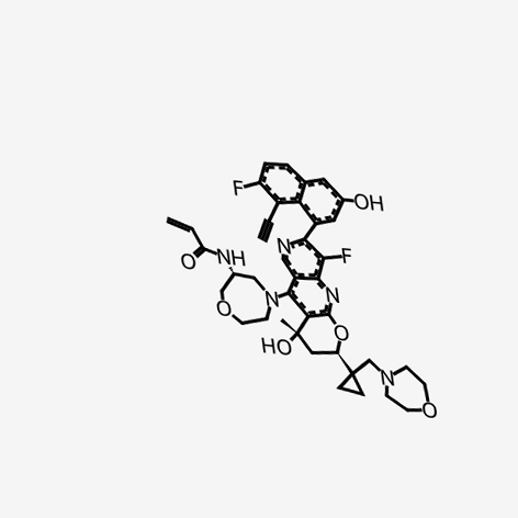 C#Cc1c(F)ccc2cc(O)cc(-c3ncc4c(N5CCOC[C@H](NC(=O)C=C)C5)c5c(nc4c3F)O[C@@H](C3(CN4CCOCC4)CC3)C[C@]5(C)O)c12